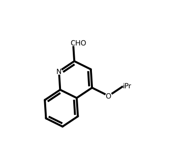 CC(C)Oc1cc(C=O)nc2ccccc12